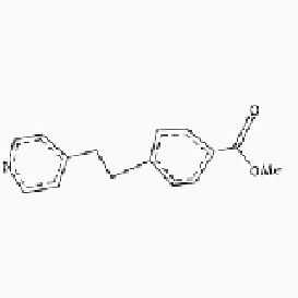 COC(=O)c1ccc(CCc2ccncc2)cc1